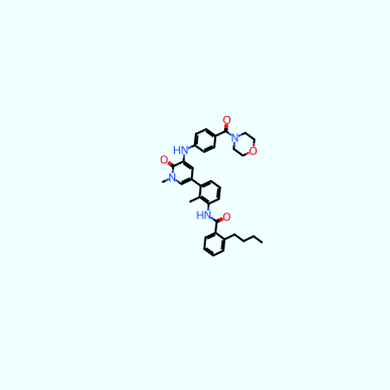 CCCCc1ccccc1C(=O)Nc1cccc(-c2cc(Nc3ccc(C(=O)N4CCOCC4)cc3)c(=O)n(C)c2)c1C